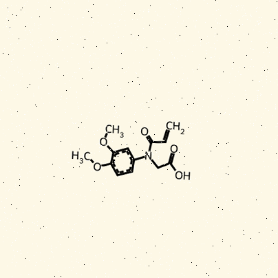 C=CC(=O)N(CC(=O)O)c1ccc(OC)c(OC)c1